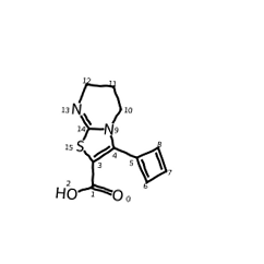 O=C(O)C1=C(C2=CC=C2)N2CCCN=C2S1